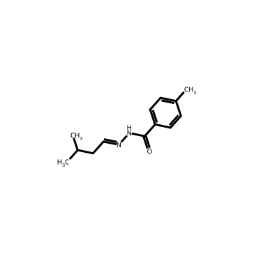 Cc1ccc(C(=O)N/N=C/CC(C)C)cc1